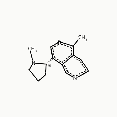 Cc1ncc([C@@H]2CCCN2C)c2cnccc12